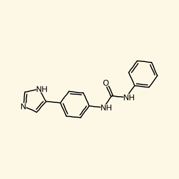 O=C(Nc1ccccc1)Nc1ccc(-c2cnc[nH]2)cc1